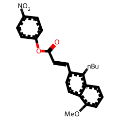 CCCCc1c(/C=C/C(=O)Oc2ccc([N+](=O)[O-])cc2)ccc2c(OC)cccc12